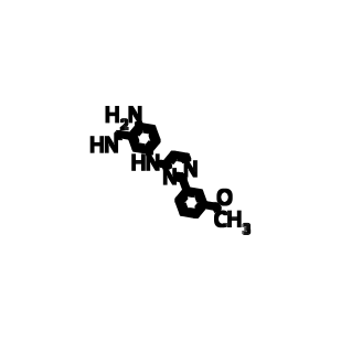 CC(=O)c1cccc(-c2nccc(Nc3ccc(N)c(C=N)c3)n2)c1